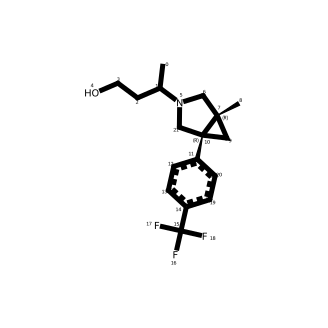 CC(CCO)N1C[C@]2(C)C[C@]2(c2ccc(C(F)(F)F)cc2)C1